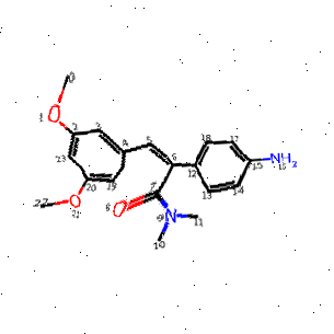 COc1cc(C=C(C(=O)N(C)C)c2ccc(N)cc2)cc(OC)c1